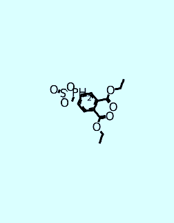 CCOC(=O)c1ccccc1C(=O)OCC.CP.O=S(=O)=O